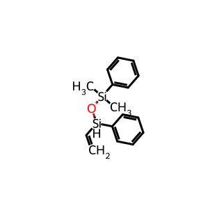 C=C[SiH](O[Si](C)(C)c1ccccc1)c1ccccc1